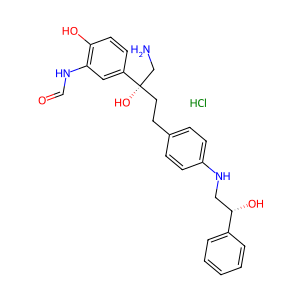 Cl.NC[C@@](O)(CCc1ccc(NC[C@H](O)c2ccccc2)cc1)c1ccc(O)c(NC=O)c1